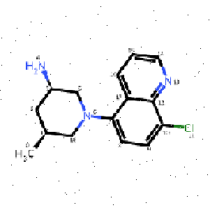 C[C@H]1C[C@@H](N)CN(c2ccc(Cl)c3ncccc23)C1